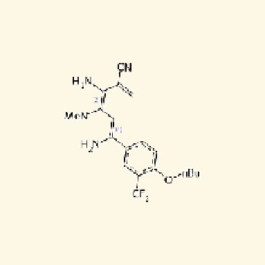 C=C(C#N)/C(N)=C(\C=C(/N)c1ccc(OCCCC)c(C(F)(F)F)c1)NC